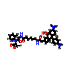 C[C@H]1OC(=O)[C@H]1NC(=O)[C@H](Cc1ccccc1)NC(=O)CCCCCNC(=O)Cc1ccc(-c2c3ccc(=[N+](C)C)cc-3oc3cc(N(C)C)ccc23)c(C(=O)O)c1